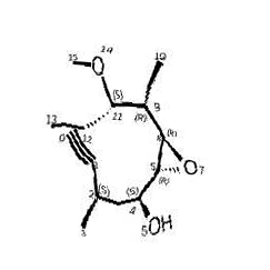 C#C[C@H](C)[C@H](O)[C@H]1O[C@@H]1[C@H](C)[C@H](CC)OC